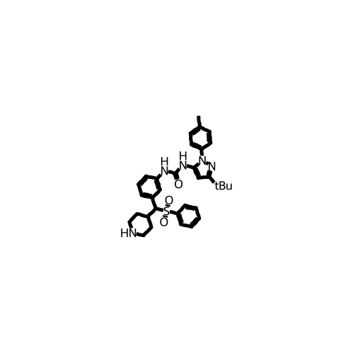 Cc1ccc(-n2nc(C(C)(C)C)cc2NC(=O)Nc2cccc(C(C3CCNCC3)S(=O)(=O)c3ccccc3)c2)cc1